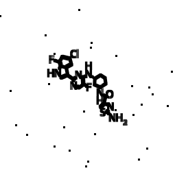 Nc1nc(C(=O)N[C@@H]2CCC[C@H](Nc3nc(-c4c[nH]c5c(F)cc(Cl)cc45)ncc3F)C2)cs1